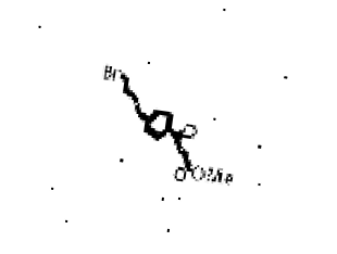 COC(=O)CCC(=O)c1ccc(CCCCBr)cc1